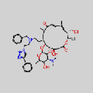 CC[C@H]1OC(=O)C[C@@H](O)[C@H](C)[C@@H](O[C@@H]2O[C@H](C)C(O)C(N(C)C)C2O)[C@@H](CCN(CCn2cc(-c3ccccc3)nn2)Cc2ccccc2)C[C@@H](C)C(=O)/C=C/C(C)=C/[C@@H]1CO